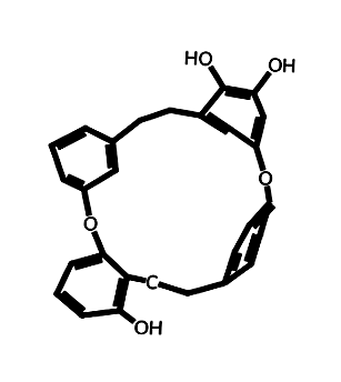 Oc1cc2cc(c1O)CCc1cccc(c1)Oc1cccc(O)c1CCc1ccc(cc1)O2